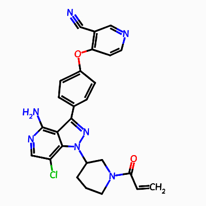 C=CC(=O)N1CCCC(n2nc(-c3ccc(Oc4ccncc4C#N)cc3)c3c(N)ncc(Cl)c32)C1